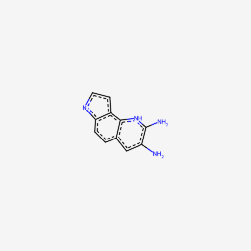 Nc1cc2ccc3nccc3c2[nH]c1N